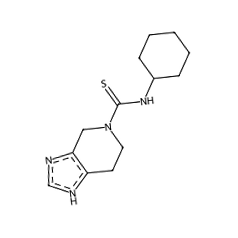 S=C(NC1CCCCC1)N1CCc2[nH]cnc2C1